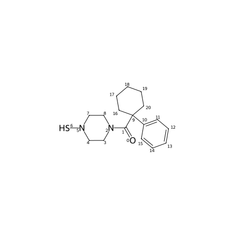 O=C(N1CCN(S)CC1)C1(c2ccccc2)CCCCC1